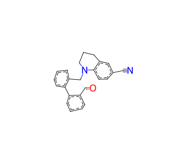 N#Cc1ccc2c(c1)CCCN2Cc1ccccc1-c1ccccc1C=O